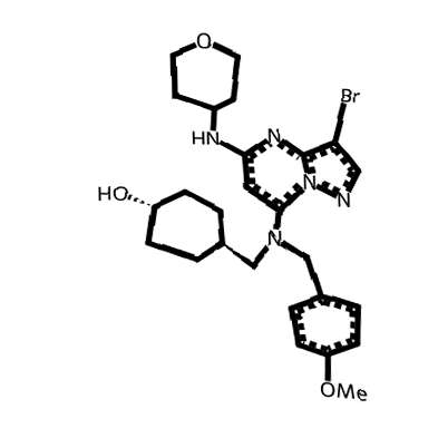 COc1ccc(CN(C[C@H]2CC[C@H](O)CC2)c2cc(NC3CCOCC3)nc3c(Br)cnn23)cc1